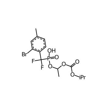 Cc1ccc(C(F)(F)P(=O)(O)OC(C)OC(=O)OC(C)C)c(Br)c1